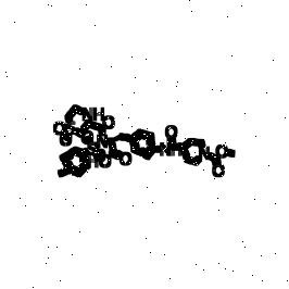 COC(=O)N1CCC(C(=O)Nc2ccc(C[C@@H](C(=O)O)N(C(=O)C3CS(=O)(=O)CCN3)S(=O)(=O)c3ccc(C)cc3)cc2)CC1